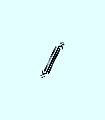 C[Si](C)(C)C(I)=CC(F)(F)C(F)(F)C(F)(F)C(F)(F)C(F)(F)C(F)(F)C(F)(F)C(F)(F)C(F)(F)C(F)(F)C(F)(F)C(F)(F)C=C(I)[Si](C)(C)C